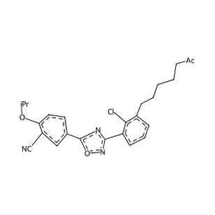 CC(=O)CCCCCc1cccc(-c2noc(-c3ccc(OC(C)C)c(C#N)c3)n2)c1Cl